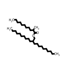 CCCCCCCCCCC(CCCCCCCCCC)COC(=O)C(C)CCCCCCCCC